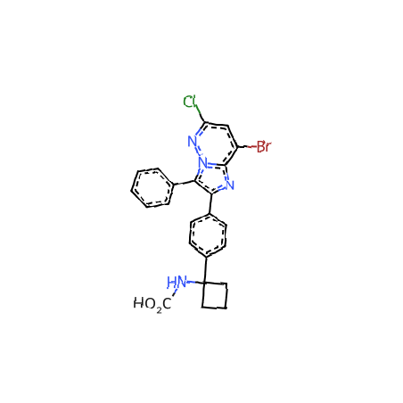 O=C(O)NC1(c2ccc(-c3nc4c(Br)cc(Cl)nn4c3-c3ccccc3)cc2)CCC1